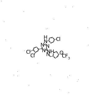 FC(F)(F)Oc1ccc(/C=N\Nc2nc(Nc3ccc(Cl)cc3)nc(-c3ccc(Cl)c(Cl)c3)n2)cc1